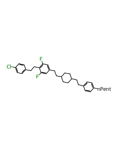 CCCCCc1ccc(CCC2CCC(CCc3cc(F)c(CCc4ccc(Cl)cc4)c(F)c3)CC2)cc1